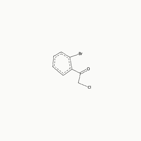 O=C(CCl)c1ccccc1Br